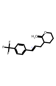 C=C1OCCCC1C/C=C/c1ccc(C(F)(F)F)cc1